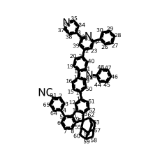 N#Cc1ccc(-c2cccc3c2-c2cc(-c4ccc5c6ccc(-c7cc(-c8ccccc8)nc(-c8ccncc8)c7)cc6n(-c6ccccc6)c5c4)ccc2C32C3CC4CC(C3)CC2C4)cc1